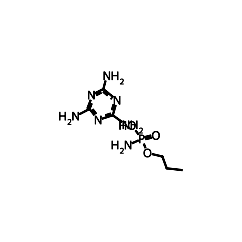 CCCOP(N)(=O)O.Nc1nc(N)nc(N)n1